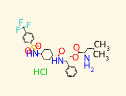 CC(C)C[C@H](N)C(=O)OC[C@@H](NC(=O)[C@H]1CC[C@H](NS(=O)(=O)c2ccc(C(F)(F)F)cc2)CC1)c1ccccc1.Cl